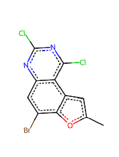 Cc1cc2c(o1)c(Br)cc1nc(Cl)nc(Cl)c12